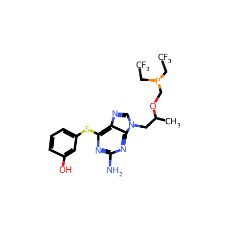 CC(Cn1cnc2c(Sc3cccc(O)c3)nc(N)nc21)OCP(CC(F)(F)F)CC(F)(F)F